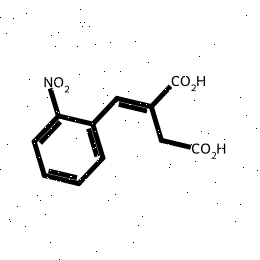 O=C(O)C/C(=C\c1ccccc1[N+](=O)[O-])C(=O)O